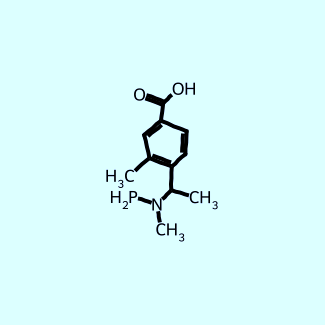 Cc1cc(C(=O)O)ccc1C(C)N(C)P